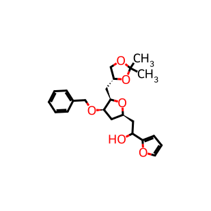 CC1(C)OC[C@@H](C[C@H]2O[C@@H](CC(O)c3ccco3)C[C@H]2OCc2ccccc2)O1